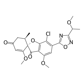 COC1=CC(=O)C[C@@H](C)[C@]12Oc1c(Cl)c(-c3nc(C(C)OC)no3)cc(OC)c1C2=O